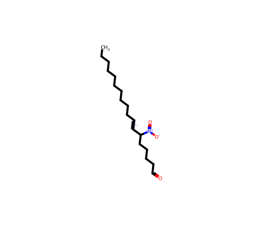 CCCCCCCCCC/C=C/C(CCCCC=O)[N+](=O)[O-]